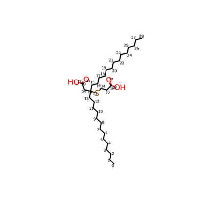 CCCCCCCCCCCCCCC(CCCCCCCCCCCCCC)(CC(=O)O)SCCC(=O)O